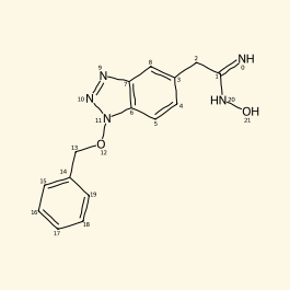 N=C(Cc1ccc2c(c1)nnn2OCc1ccccc1)NO